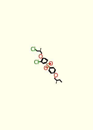 CC[C@@H](C)COc1ccc(S(=O)(=O)c2ccc(OC[C@H](C)CCl)c(Cl)c2)cc1